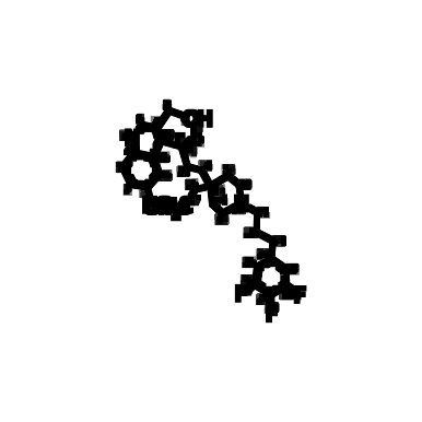 COc1ccc2ncc(CO)c([C@@H](F)CCC3(CC(=O)O)CCN(CCCc4cc(F)c(F)c(F)c4)CC3)c2c1